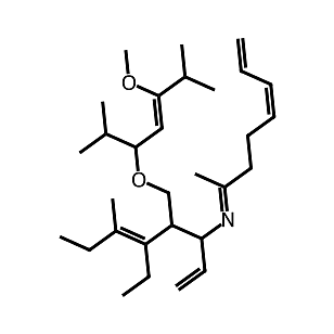 C=C/C=C\CC/C(C)=N/C(C=C)C(COC(/C=C(\OC)C(C)C)C(C)C)/C(CC)=C(\C)CC